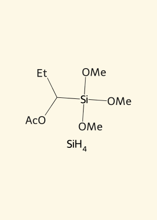 CCC(OC(C)=O)[Si](OC)(OC)OC.[SiH4]